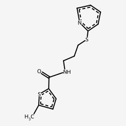 Cc1ccc(C(=O)NCCCSc2ccccn2)s1